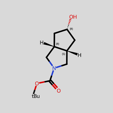 CC(C)(C)OC(=O)N1C[C@H]2C[C@@H](O)C[C@H]2C1